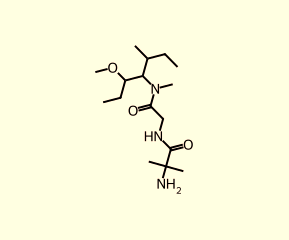 CCC(C)C(C(CC)OC)N(C)C(=O)CNC(=O)C(C)(C)N